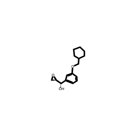 O[C@@H](c1cccc(OCC2CCCCC2)c1)[C@H]1CO1